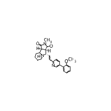 COc1ccccc1-c1ccc(/C=C/[C@H]2[C@H]3C(=O)N(C)C(=O)[C@H]3[C@@H]3CCCCN23)nc1